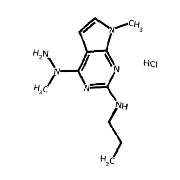 CCCNc1nc(N(C)N)c2ccn(C)c2n1.Cl